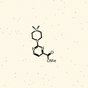 COC(=O)c1ccnc(N2CC[Si](C)(C)CC2)n1